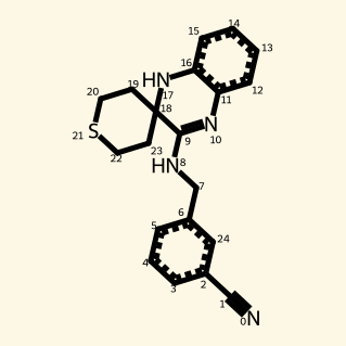 N#Cc1cccc(CNC2=Nc3ccccc3NC23CCSCC3)c1